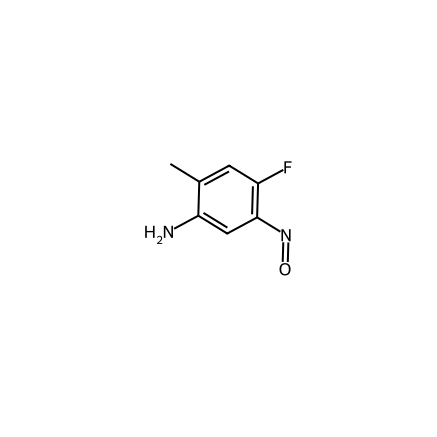 Cc1cc(F)c(N=O)cc1N